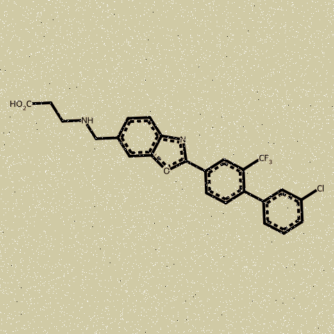 O=C(O)CCNCc1ccc2nc(-c3ccc(-c4cccc(Cl)c4)c(C(F)(F)F)c3)oc2c1